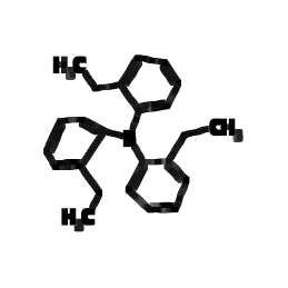 CCc1ccccc1B(c1ccccc1CC)c1ccccc1CC